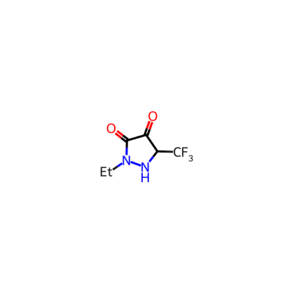 CCN1NC(C(F)(F)F)C(=O)C1=O